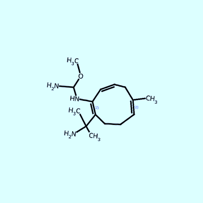 COC(N)N/C1=C(\C(C)(C)N)CC/C=C(/C)CC=C1